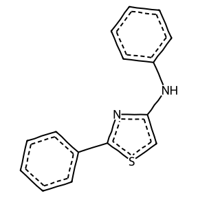 c1ccc(Nc2csc(-c3ccccc3)n2)cc1